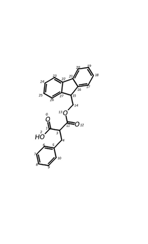 O=C(O)C(Cc1ccccc1)C(=O)OCC1c2ccccc2-c2ccccc21